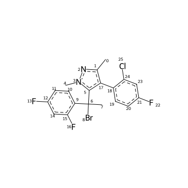 Cc1nn(C)c(C(C)(Br)c2ccc(F)cc2F)c1-c1ccc(F)cc1Cl